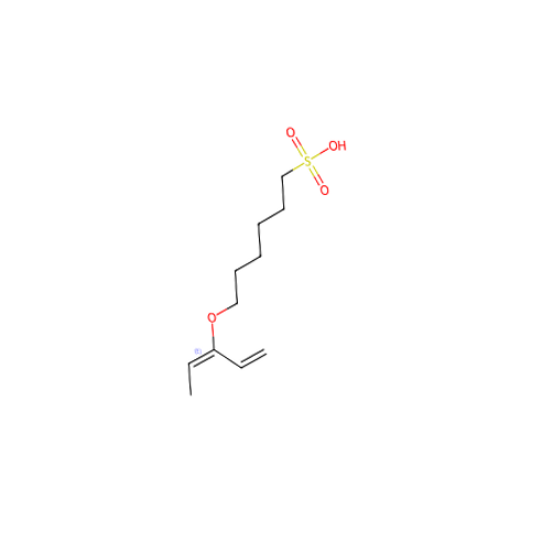 C=C/C(=C\C)OCCCCCCS(=O)(=O)O